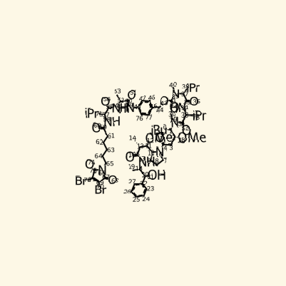 CC[C@H](C)[C@@H]([C@@H](CC(=O)N1CCC[C@H]1[C@H](OC)[C@@H](C)C(=O)N[C@H](C)[C@@H](O)c1ccccc1)OC)N(C)C(=O)[C@@H](NC(=O)[C@H](C(C)C)N(C)C(=O)OCc1ccc(NC(=O)[C@H](C)NC(=O)[C@@H](NC(=O)CCCCCN2C(=O)C(Br)=C(Br)C2=O)C(C)C)cc1)C(C)C